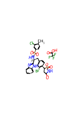 Cc1ccc(S(=O)(=O)N[C@@H](Cc2ccc(C3CC(=O)NS3(=O)=O)c(Br)c2)c2nc3ccccc3[nH]2)cc1Cl.O=C(O)C(F)(F)F